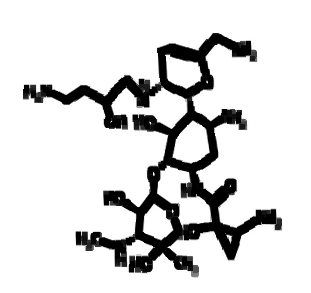 CN[C@@H]1[C@@H](O)[C@@H](O[C@H]2[C@H](NC(=O)C3(O)CC3N)C[C@H](N)C([C@H]3OC(CN)=CC[C@H]3NCC(O)CCN)[C@@H]2O)OC[C@]1(C)O